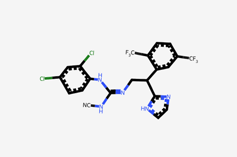 N#CNC(=NCC(c1ncc[nH]1)c1cc(C(F)(F)F)ccc1C(F)(F)F)Nc1ccc(Cl)cc1Cl